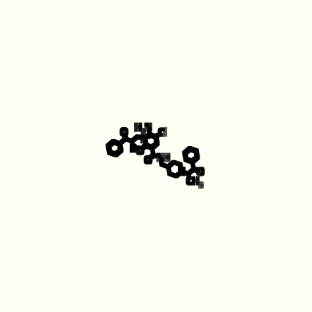 CC(C(=O)c1ccccc1)N1CCC(CNC(=O)c2cc(Cl)c(N)n(CC(Br)C(=O)c3ccccc3)c2=O)CC1